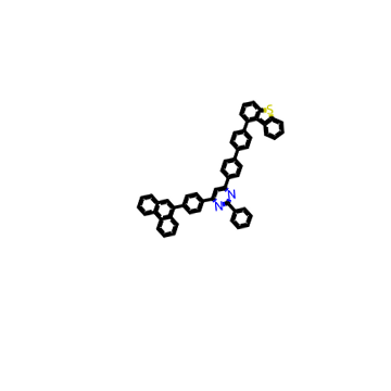 c1ccc(-c2nc(-c3ccc(-c4ccc(-c5cccc6sc7ccccc7c56)cc4)cc3)cc(-c3ccc(-c4cc5ccccc5c5ccccc45)cc3)n2)cc1